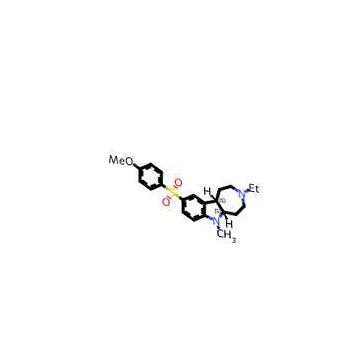 CCN1CC[C@H]2c3cc(S(=O)(=O)c4ccc(OC)cc4)ccc3N(C)[C@H]2CC1